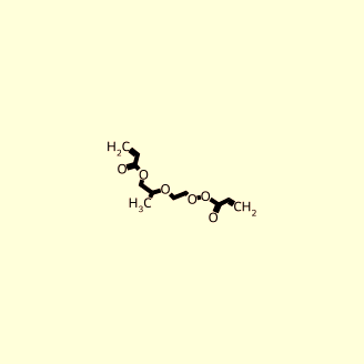 C=CC(=O)OCC(C)OCCOOC(=O)C=C